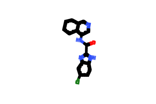 O=C(Nc1cncc2ccccc12)c1nc2cc(Cl)ccc2[nH]1